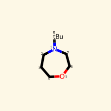 CC(C)(C)N1CCCOCC1